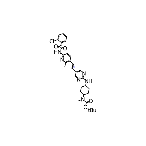 Cc1nc(NS(=O)(=O)c2ccccc2Cl)ccc1/C=C/c1cnc(NC2CCC(N(C)C(=O)OC(C)(C)C)CC2)nc1